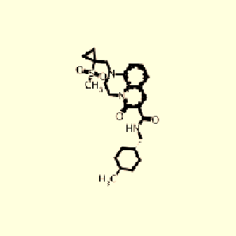 CS(=O)(=O)C1(CN2CCn3c(=O)c(C(=O)NC[C@H]4CC[C@H](C)CC4)cc4cccc2c43)CC1